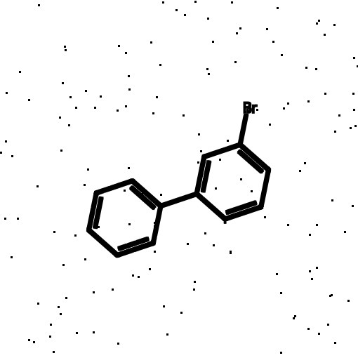 Brc1cc[c]c(-c2ccccc2)c1